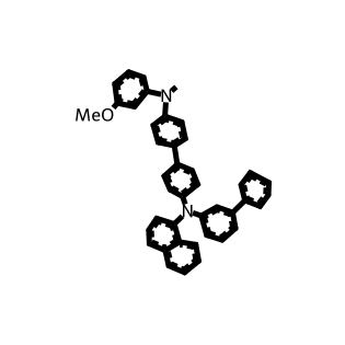 COc1cccc(N(C)c2ccc(-c3ccc(N(c4cccc(-c5ccccc5)c4)c4cccc5ccccc45)cc3)cc2)c1